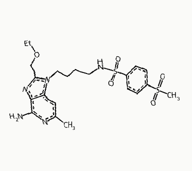 CCOCc1nc2c(N)nc(C)cc2n1CCCCNS(=O)(=O)c1ccc(S(C)(=O)=O)cc1